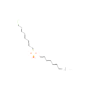 CCCCCCCCCCCCCCCCCOS(=O)(=O)CCCCCCCCF